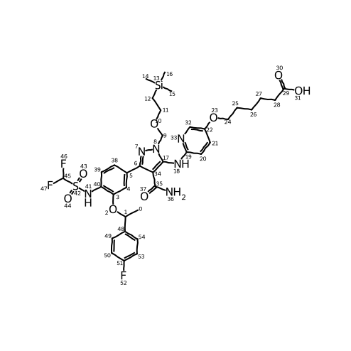 CC(Oc1cc(-c2nn(COCC[Si](C)(C)C)c(Nc3ccc(OCCCCCC(=O)O)cn3)c2C(N)=O)ccc1NS(=O)(=O)C(F)F)c1ccc(F)cc1